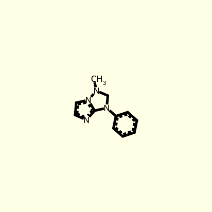 CN1CN(c2ccccc2)c2nccn21